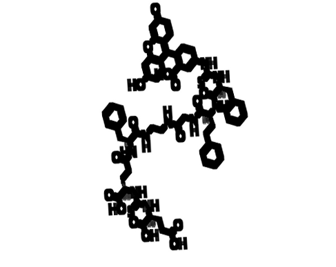 O=C(O)CC[C@H](NC(=S)N[C@@H](CCC(=O)N[C@@H](Cc1ccccc1)C(=O)NCCNC(=O)CNC(=O)[C@H](CCc1ccccc1)NC(=O)[C@H](Cc1ccccc1)NC(=S)Nc1ccc(-c2c3ccc(=O)cc-3oc3cc(O)ccc23)c(C(=O)O)c1)C(=O)O)C(=O)O